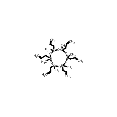 C=CC[Si]1(C)O[Si](C)(CC=C)O[Si](C)(CC=C)O[Si](C)(CC=C)O[Si](C)(CC=C)O[Si](C)(CC=C)O1